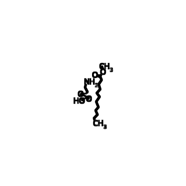 CCCCCCCCCCCC(=O)OC.NCCS(=O)(=O)O